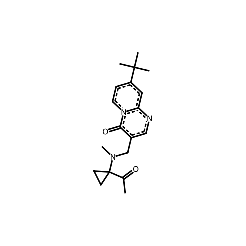 CC(=O)C1(N(C)Cc2cnc3cc(C(C)(C)C)ccn3c2=O)CC1